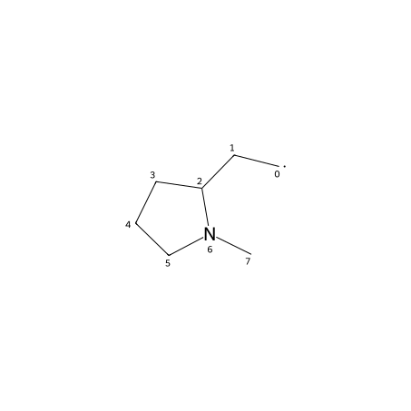 [CH2]CC1CCCN1C